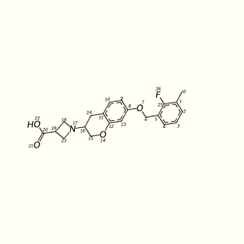 Cc1cccc(COc2ccc3c(c2)OCC(N2CC(C(=O)O)C2)C3)c1F